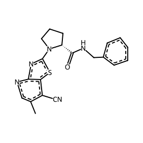 Cc1cnc2nc(N3CCC[C@@H]3C(=O)NCc3ccccc3)sc2c1C#N